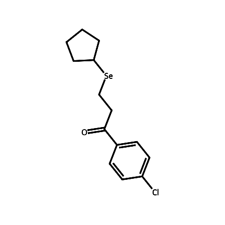 O=C(CC[Se]C1CCCC1)c1ccc(Cl)cc1